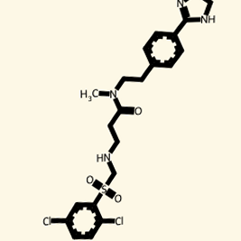 CN(CCc1ccc(C2=NCCN2)cc1)C(=O)CCNCS(=O)(=O)c1cc(Cl)ccc1Cl